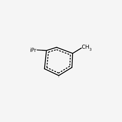 Cc1c[c]cc(C(C)C)c1